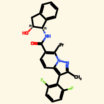 Cc1nn2c(C(C)C)c(C(=O)N[C@H]3c4ccccc4C[C@H]3O)ccc2c1-c1c(F)cccc1F